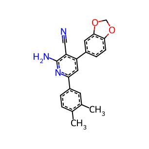 Cc1ccc(-c2cc(-c3ccc4c(c3)OCO4)c(C#N)c(N)n2)cc1C